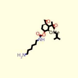 COC1C(OC(=O)NCCCCCCN)CC[C@]2(CO2)C1C1(C)O[C@@H]1CC=C(C)C